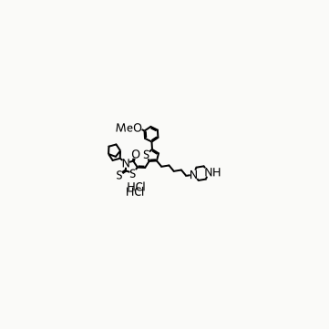 COc1cccc(-c2cc(CCCCCN3CCNCC3)c(/C=C3/SC(=S)N(C4CC5CCC4C5)C3=O)s2)c1.Cl.Cl